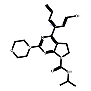 C=C/C=C(\C=C\O)c1nc(N2CCOCC2)nc2c1CCN2C(=O)NC(C)C